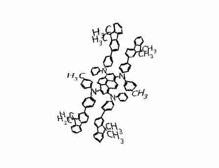 Cc1ccc(N(c2ccc(-c3ccc4c(c3)C(C)(C)c3ccccc3-4)cc2)c2cc(N(c3ccccc3)c3ccc(-c4ccc5c(c4)C(C)(C)c4ccccc4-5)cc3)c3ccc4c(N(c5ccc(C)cc5)c5ccc(-c6ccc7c(c6)C(C)(C)c6ccccc6-7)cc5)cc(N(c5ccccc5)c5ccc(-c6ccc7c(c6)C(C)(C)c6ccccc6-7)cc5)c5ccc2c3c54)cc1